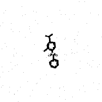 Cc1[c]c(C(C)C)ccc1S(=O)(=O)c1ccccc1